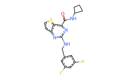 O=C(NC1CCC1)c1nc(NCc2cc(F)cc(F)c2)nc2ccsc12